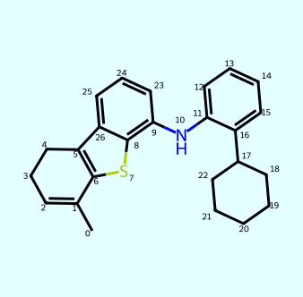 CC1=CCCc2c1sc1c(Nc3ccccc3C3CCCCC3)cccc21